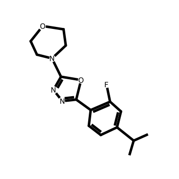 CC(C)c1ccc(-c2nnc(N3CCOCC3)o2)c(F)c1